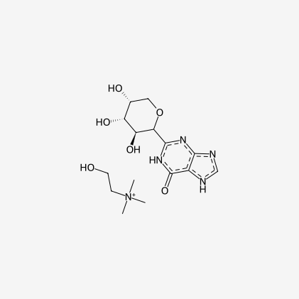 C[N+](C)(C)CCO.O=c1[nH]c(C2OC[C@@H](O)[C@@H](O)[C@@H]2O)nc2nc[nH]c12